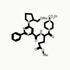 CCOC(=O)N1CCN(C(=O)C(CCC(=O)OC(C)(C)C)NC(=O)c2cc(N3CCCC3COC)nc(-c3ccccc3)n2)CC1